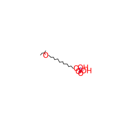 CCC(C)OCCCCCCCCCCCCOOP(=O)(O)O